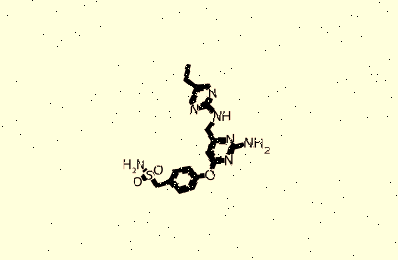 CCc1cnc(NCc2cc(Oc3ccc(CS(N)(=O)=O)cc3)nc(N)n2)nc1